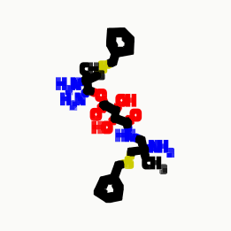 CC(N)(CNC(=O)C(O)C(O)C(=O)OC(N)C(C)(N)CSCc1ccccc1)CSCc1ccccc1